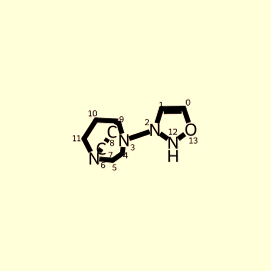 C1=CN(N2CCN3CCC2CC3)NO1